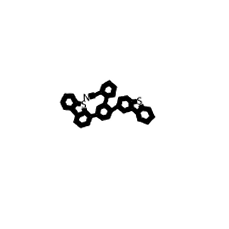 N#Cc1ccccc1-c1cc(-c2cccc3c2sc2ccccc23)ccc1-c1ccc2sc3ccccc3c2c1